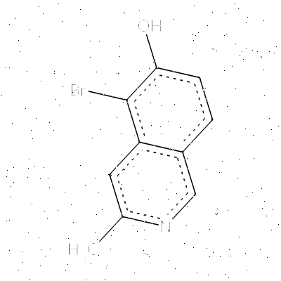 Cc1cc2c(Br)c(O)ccc2cn1